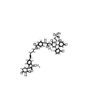 CC(C)[C@@H](CS(=O)(=O)C(C)C)N1C(=O)[C@@](C)(CC(=O)Nc2ccc(C(=O)NCCCC#Cc3ccc4c(c3)n(C)c(=O)n4C3CCC(=O)NC3=O)cc2)C[C@H](c2cccc(Cl)c2)[C@H]1c1ccc(Cl)cc1